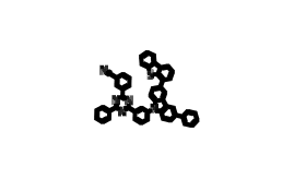 N#Cc1cccc(-c2nc(-c3ccccc3)nc(-c3cccc(-n4c5ccc(-c6ccccc6)cc5c5cc(-c6cccc7c6sc6ccccc67)ccc54)c3)n2)c1